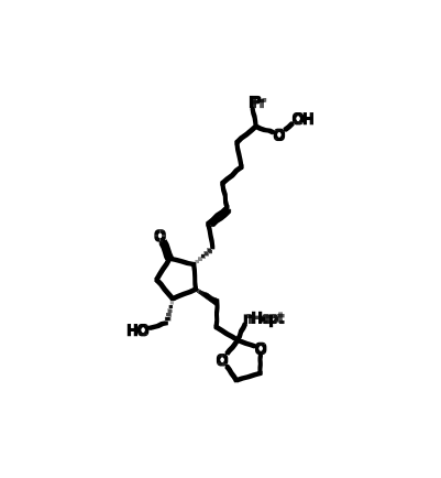 CCCCCCCC1(CC[C@H]2[C@H](CO)CC(=O)[C@@H]2CC=CCCCC(OO)C(C)C)OCCO1